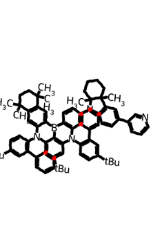 CC(C)(C)c1ccc(N2c3cc(N4c5ccc(-c6cccnc6)cc5C5(C)CCCCC45C)ccc3B3c4cc5c(cc4N(c4ccc(C(C)(C)C)cc4-c4ccccc4)c4cc(C(C)(C)C)cc2c43)C(C)(C)CCC5(C)C)c(-c2ccccc2)c1